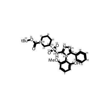 COc1cccc(O)c1-n1c(NS(=O)(=O)[C@H]2CCCN(C(=O)OC(C)(C)C)C2)nnc1C1=C=C=CC=C1